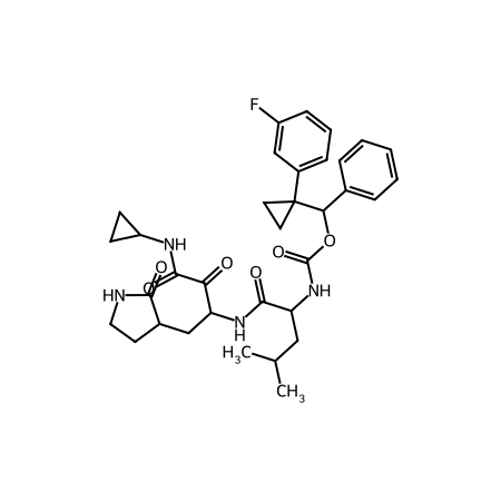 CC(C)CC(NC(=O)OC(c1ccccc1)C1(c2cccc(F)c2)CC1)C(=O)NC(CC1CCNC1=O)C(=O)C(=O)NC1CC1